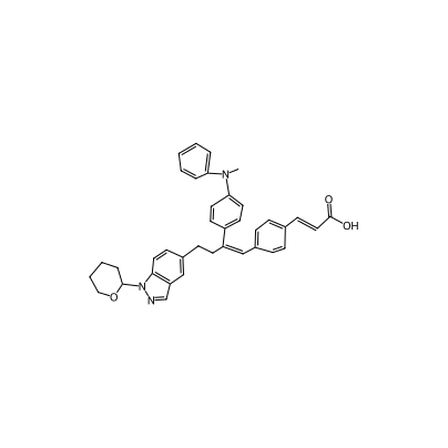 CN(c1ccccc1)c1ccc(C(=Cc2ccc(C=CC(=O)O)cc2)CCc2ccc3c(cnn3C3CCCCO3)c2)cc1